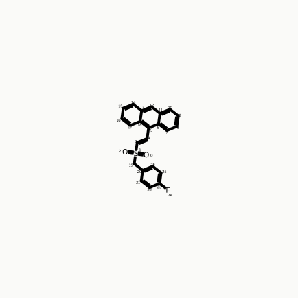 O=S(=O)(C=Cc1c2ccccc2cc2ccccc12)Cc1ccc(F)cc1